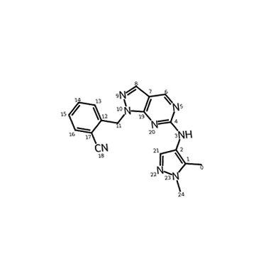 Cc1c(Nc2ncc3cnn(Cc4ccccc4C#N)c3n2)cnn1C